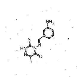 Cc1n[nH]c(=S)n(/N=C/c2cccc(N)c2)c1=O